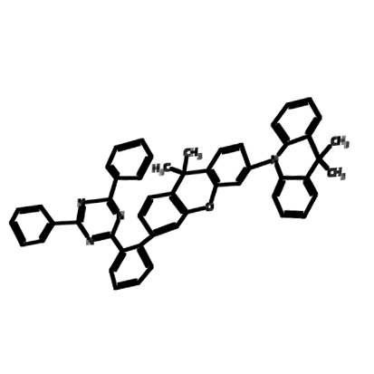 CC1(C)c2ccc(-c3ccccc3-c3nc(-c4ccccc4)nc(-c4ccccc4)n3)cc2Oc2cc(N3c4ccccc4C(C)(C)c4ccccc43)ccc21